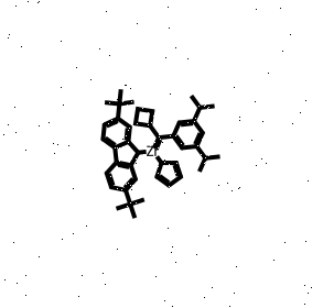 CC(C)c1cc([C](C2CCC2)=[Zr]([CH]2C=CC=C2)[CH]2c3cc(C(C)(C)C)ccc3-c3ccc(C(C)(C)C)cc32)cc(C(C)C)c1